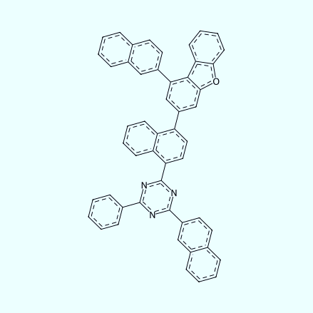 c1ccc(-c2nc(-c3ccc4ccccc4c3)nc(-c3ccc(-c4cc(-c5ccc6ccccc6c5)c5c(c4)oc4ccccc45)c4ccccc34)n2)cc1